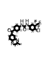 Cc1cnc2ccc(C(=O)c3ccc(NC(=O)Nc4ccc(Cl)c(C(F)(F)F)c4)cc3)cc2n1